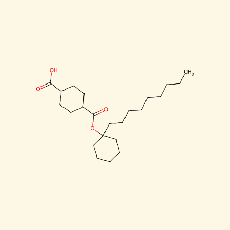 CCCCCCCCCC1(OC(=O)C2CCC(C(=O)O)CC2)CCCCC1